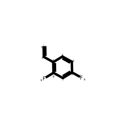 [CH]=Cc1ccc(F)cc1F